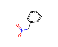 O=[N+]([O-])Cc1cc[c]cc1